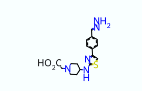 NN=Cc1ccc(-c2csc(NC3CCN(CC(=O)O)CC3)n2)cc1